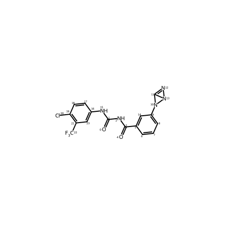 O=C(NC(=O)c1cccc(-n2c3nn2-3)c1)Nc1ccc(Cl)c(C(F)(F)F)c1